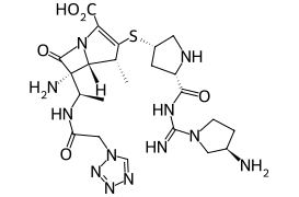 C[C@H]1C(S[C@@H]2CN[C@H](C(=O)NC(=N)N3CC[C@@H](N)C3)C2)=C(C(=O)O)N2C(=O)[C@](N)([C@@H](C)NC(=O)Cn3cnnn3)[C@@H]12